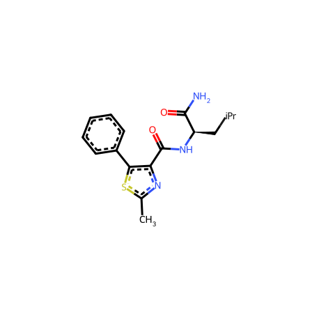 Cc1nc(C(=O)N[C@H](CC(C)C)C(N)=O)c(-c2ccccc2)s1